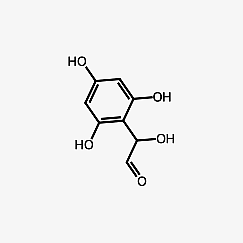 O=CC(O)c1c(O)cc(O)cc1O